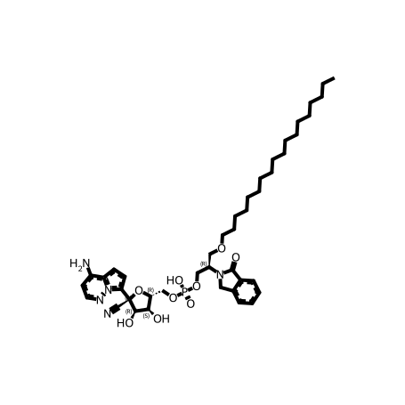 CCCCCCCCCCCCCCCCCCOC[C@H](COP(=O)(O)OC[C@H]1O[C@@](C#N)(c2ccc3c(N)ccnn23)[C@H](O)[C@@H]1O)N1Cc2ccccc2C1=O